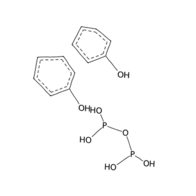 OP(O)OP(O)O.Oc1ccccc1.Oc1ccccc1